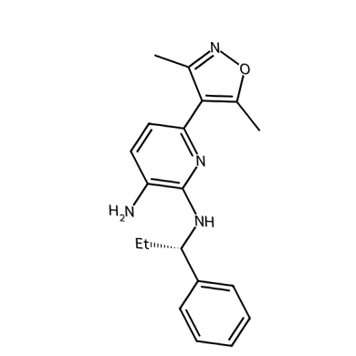 CC[C@H](Nc1nc(-c2c(C)noc2C)ccc1N)c1ccccc1